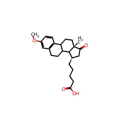 COc1ccc2c(c1)CCC1C2CC[C@]2(C)C(=O)C[C@@H](CCCCC(=O)O)C12